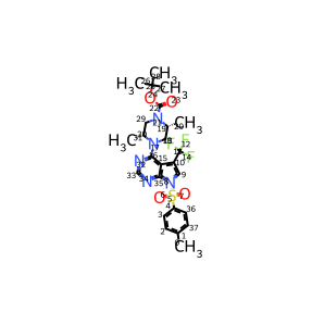 Cc1ccc(S(=O)(=O)n2cc(C(F)(F)F)c3c(N4C[C@@H](C)N(C(=O)OC(C)(C)C)C[C@H]4C)ncnc32)cc1